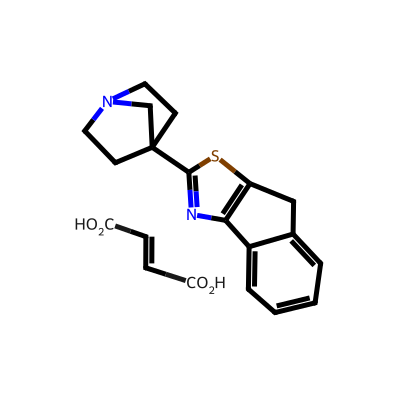 O=C(O)/C=C/C(=O)O.c1ccc2c(c1)Cc1sc(C34CCN(CC3)C4)nc1-2